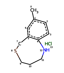 Cc1ccc2c(c1)CSCCCN2.Cl